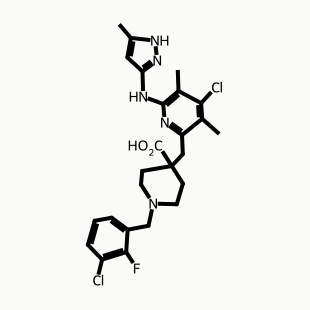 Cc1cc(Nc2nc(CC3(C(=O)O)CCN(Cc4cccc(Cl)c4F)CC3)c(C)c(Cl)c2C)n[nH]1